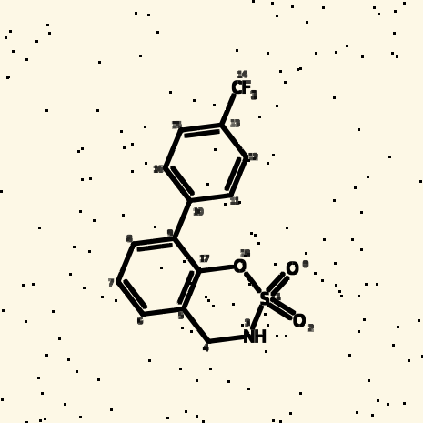 O=S1(=O)NCc2cccc(-c3ccc(C(F)(F)F)cc3)c2O1